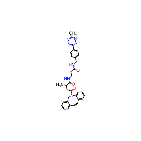 Cc1nnc(-c2ccc(CNC(=O)CCNC(=O)C(C)CC(=O)N3Cc4ccccc4/C=C\c4ccccc43)cc2)nn1